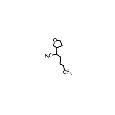 N#CC(CCCC(F)(F)F)C1CCOC1